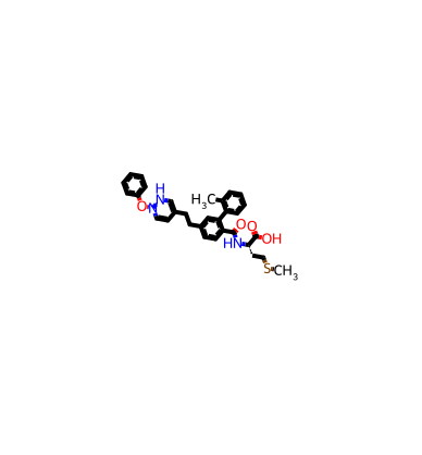 CSCC[C@H](NC(=O)c1ccc(CCC2=CNN(Oc3ccccc3)C=C2)cc1-c1ccccc1C)C(=O)O